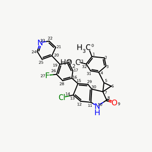 Cc1ccc(C2CC23C(=O)Nc2cc(Cl)c(-c4ccc(-c5ccncc5)c(F)c4)cc23)cc1C(=O)O